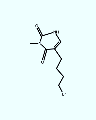 Cn1c(=O)[nH]cc(CCCCBr)c1=O